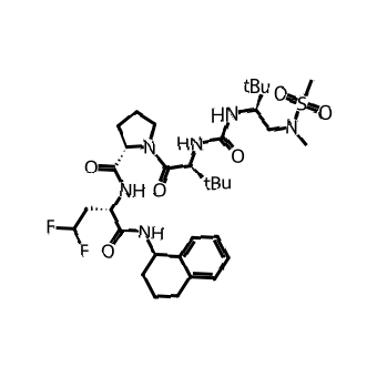 CN(C[C@@H](NC(=O)N[C@H](C(=O)N1CCC[C@H]1C(=O)N[C@@H](CC(F)F)C(=O)NC1CCCc2ccccc21)C(C)(C)C)C(C)(C)C)S(C)(=O)=O